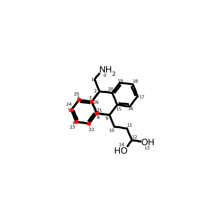 NCC12c3ccccc3C(CCC(O)O)(c3ccccc31)c1ccccc12